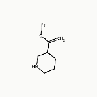 C=C(OCC)C1CCCNC1